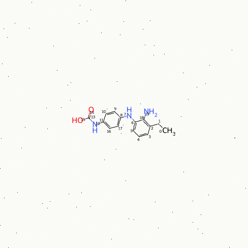 CCc1cccc(Nc2ccc(NC(=O)O)cc2)c1N